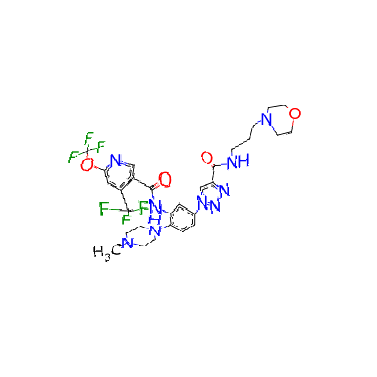 CN1CCN(c2ccc(-n3cc(C(=O)NCCCN4CCOCC4)nn3)cc2NC(=O)c2cnc(OC(F)(F)F)cc2C(F)(F)F)CC1